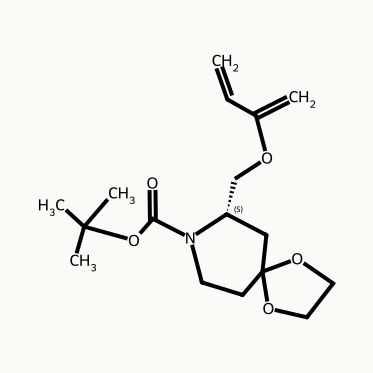 C=CC(=C)OC[C@@H]1CC2(CCN1C(=O)OC(C)(C)C)OCCO2